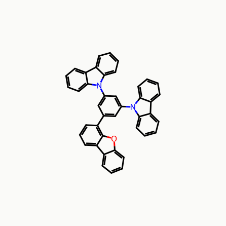 c1ccc2c(c1)oc1c(-c3cc(-n4c5ccccc5c5ccccc54)cc(-n4c5ccccc5c5ccccc54)c3)cccc12